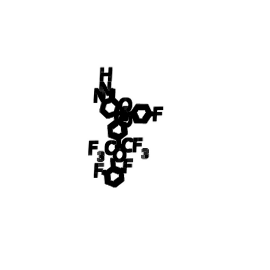 O=S(=O)(c1ccc(F)cc1)C1(c2ccc(C(OCc3c(F)cccc3F)(C(F)(F)F)C(F)(F)F)cc2)CCc2n[nH]cc2C1